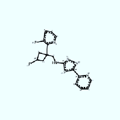 Fc1cccnc1C1(CNc2nnc(-c3ccccn3)s2)CC(F)C1